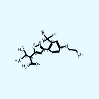 CCCOc1ccc(-c2cc(C(C(N)=O)C(C)C)on2)c(C(F)(F)F)c1